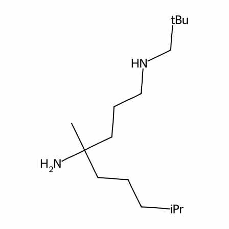 CC(C)CCCC(C)(N)CCCNCC(C)(C)C